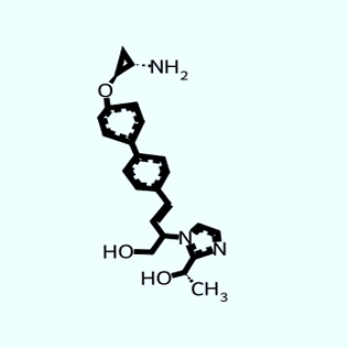 C[C@H](O)c1nccn1C(C=Cc1ccc(-c2ccc(O[C@H]3C[C@@H]3N)cc2)cc1)CO